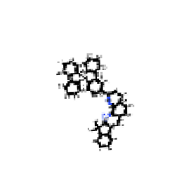 CC1(C)c2ccccc2-c2cc3ccc4ccc(-c5ccc6c(c5)-c5ccccc5[Si]6(c5ccccc5)c5ccccc5)nc4c3nc21